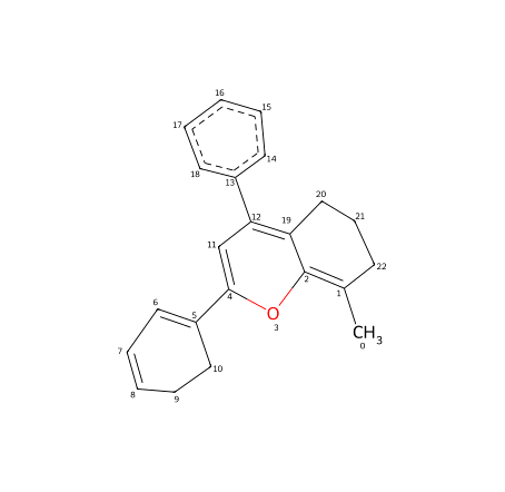 CC1=C2OC(C3=CC=CCC3)=CC(c3ccccc3)=C2CCC1